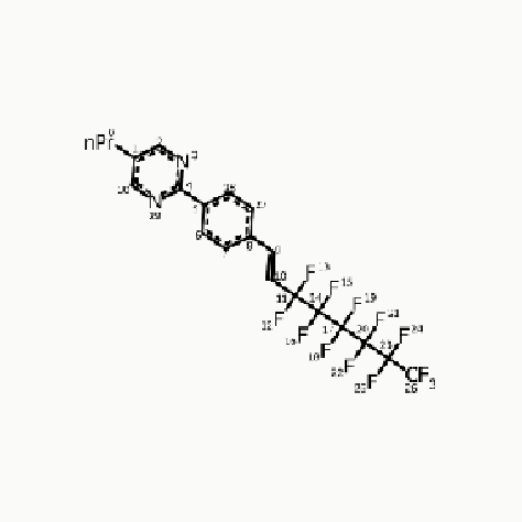 CCCc1cnc(-c2ccc(/C=C/C(F)(F)C(F)(F)C(F)(F)C(F)(F)C(F)(F)C(F)(F)F)cc2)nc1